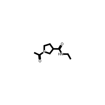 CCNC(=O)C1CCN(C(C)=O)C1